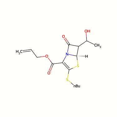 C=CCOC(=O)C1=C(SCCCC)S[C@@H]2C(C(C)O)C(=O)N12